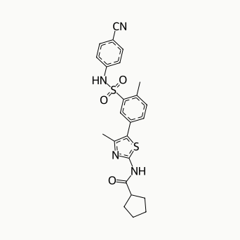 Cc1ccc(-c2sc(NC(=O)C3CCCC3)nc2C)cc1S(=O)(=O)Nc1ccc(C#N)cc1